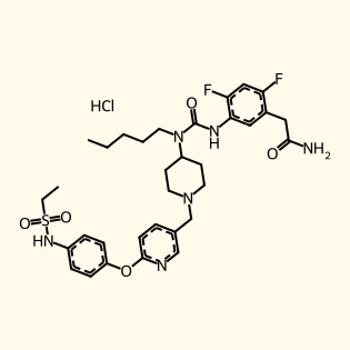 CCCCCN(C(=O)Nc1cc(CC(N)=O)c(F)cc1F)C1CCN(Cc2ccc(Oc3ccc(NS(=O)(=O)CC)cc3)nc2)CC1.Cl